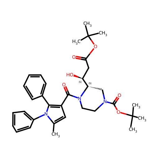 Cc1cc(C(=O)N2CCN(C(=O)OC(C)(C)C)C[C@H]2[C@@H](O)CC(=O)OC(C)(C)C)c(-c2ccccc2)n1-c1ccccc1